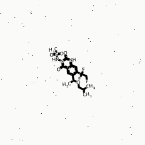 CC(C)COC(C)c1cc2c(=O)n(NS(C)(=O)=O)c(=O)[nH]c2cc1C(F)(F)CF